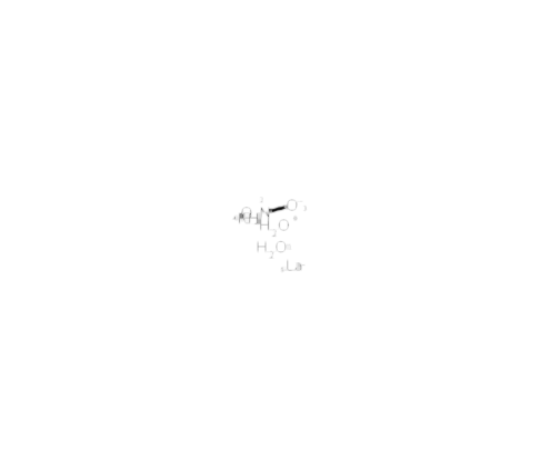 O.O.O=[N+]([O-])[O-].[KH].[La]